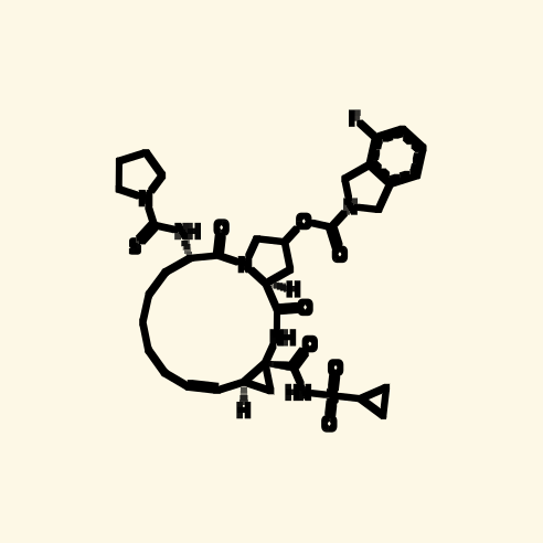 O=C1N[C@]2(C(=O)NS(=O)(=O)C3CC3)C[C@H]2/C=C\CCCCC[C@H](NC(=S)N2CCCC2)C(=O)N2CC(OC(=O)N3Cc4cccc(F)c4C3)C[C@@H]12